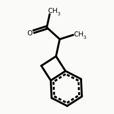 CC(=O)C(C)C1Cc2ccccc21